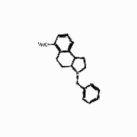 COc1cccc2c1CCC1C2CCN1Cc1ccccc1